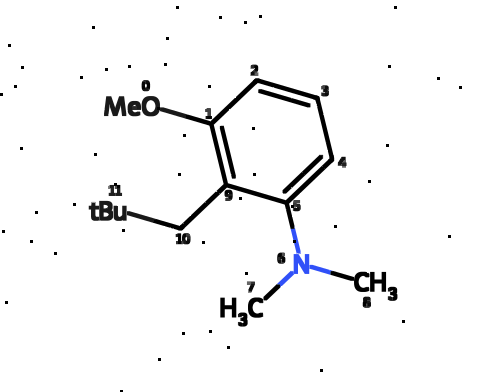 COc1cccc(N(C)C)c1CC(C)(C)C